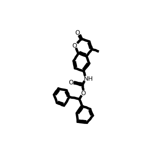 Cc1cc(=O)oc2ccc(NC(=O)OC(c3ccccc3)c3ccccc3)cc12